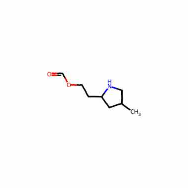 CC1CNC(CCOC=O)C1